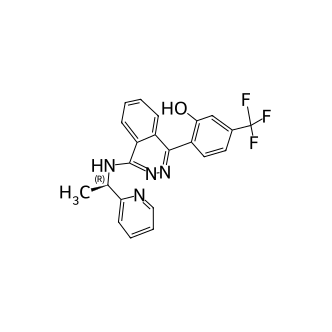 C[C@@H](Nc1nnc(-c2ccc(C(F)(F)F)cc2O)c2ccccc12)c1ccccn1